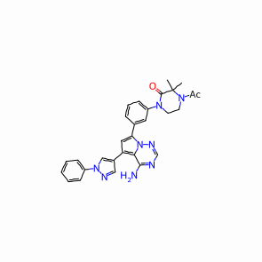 CC(=O)N1CCN(c2cccc(-c3cc(-c4cnn(-c5ccccc5)c4)c4c(N)ncnn34)c2)C(=O)C1(C)C